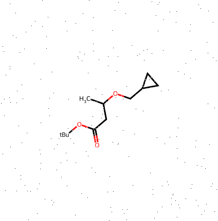 CC(CC(=O)OC(C)(C)C)OCC1CC1